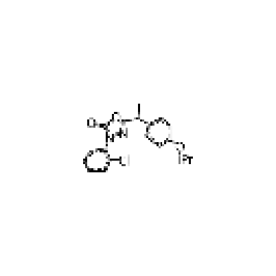 CC(C)Oc1ccc(C(C)c2nn(-c3ccccc3Cl)c(=O)o2)cc1